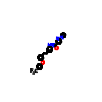 O=C(NC1CC2CCC1CC2=CCc1cccc(Oc2ccc(C(F)(F)F)cc2)c1)c1ccc(-n2cccc2)nc1